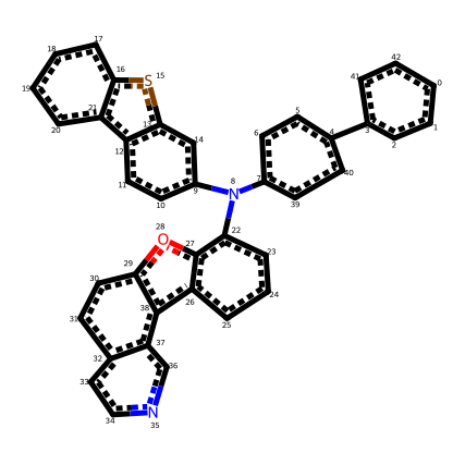 c1ccc(-c2ccc(N(c3ccc4c(c3)sc3ccccc34)c3cccc4c3oc3ccc5ccncc5c34)cc2)cc1